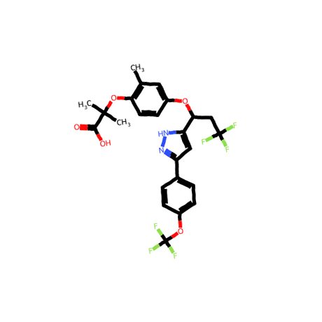 Cc1cc(OC(CC(F)(F)F)c2cc(-c3ccc(OC(F)(F)F)cc3)n[nH]2)ccc1OC(C)(C)C(=O)O